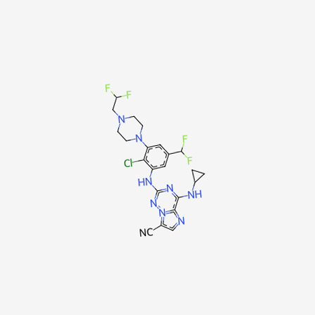 N#Cc1cnc2c(NC3CC3)nc(Nc3cc(C(F)F)cc(N4CCN(CC(F)F)CC4)c3Cl)nn12